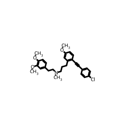 COc1ccc(C#Cc2ccc(Cl)cc2)c(CCCN(C)CCc2ccc(OC)c(OC)c2)c1